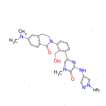 CCCn1cc(Nc2nc(-c3cccc(N4CCc5cc(N(C)C)ccc5C4=O)c3CO)cn(C)c2=O)cn1